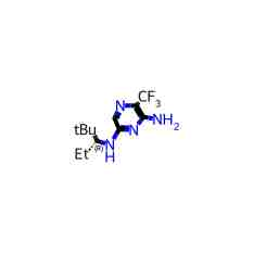 CC[C@@H](Nc1cnc(C(F)(F)F)c(N)n1)C(C)(C)C